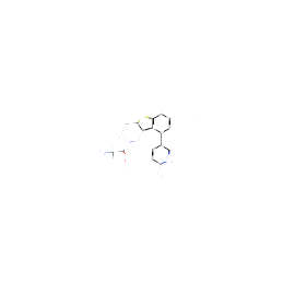 Cc1cc(-c2ccc(N)nc2)c2c3c(sc2c1Cl)CCN(C(=O)C(C)(C)N)C3